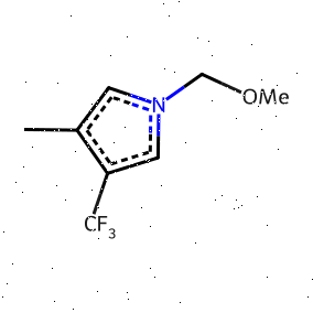 COCn1cc(C)c(C(F)(F)F)c1